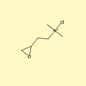 C[N+](C)(Cl)CCC1CO1